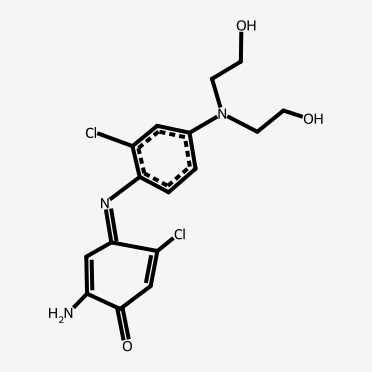 NC1=CC(=Nc2ccc(N(CCO)CCO)cc2Cl)C(Cl)=CC1=O